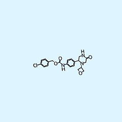 O=C1CN(C2COC2)C(c2ccc(NC(=O)OCc3ccc(Cl)cc3)cc2)CN1